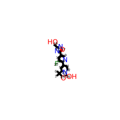 CC(C)(C)C1C=C(c2ncc(-c3nc(CO)no3)cc2F)CCN1C(=O)O